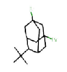 CC(C)(C)C1C2CC3(Br)CC1CC(Br)(C2)C3